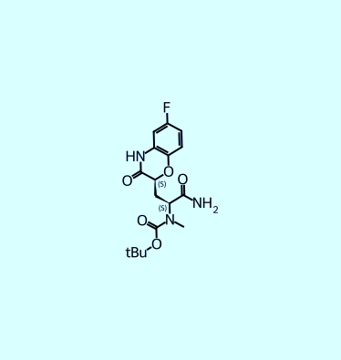 CN(C(=O)OC(C)(C)C)[C@@H](C[C@@H]1Oc2ccc(F)cc2NC1=O)C(N)=O